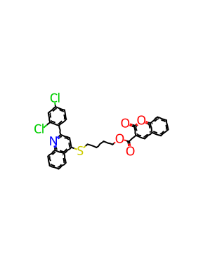 O=C(OCCCCSc1cc(-c2ccc(Cl)cc2Cl)nc2ccccc12)c1cc2ccccc2oc1=O